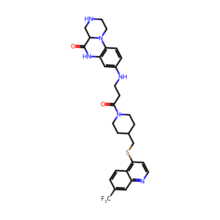 O=C1Nc2cc(NCCC(=O)N3CCC(CSc4ccnc5cc(C(F)(F)F)ccc45)CC3)ccc2N2CCNCC12